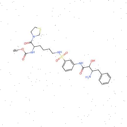 CC(C)(C)OC(=O)NC(CCCCNS(=O)(=O)c1cccc(NC(=O)C(O)C(N)Cc2ccccc2)c1)C(=O)N1CCSC1